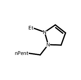 CCCCCCN1CC=CN1CC